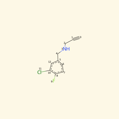 C#CCNCc1ccc(F)c(Cl)c1